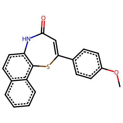 COc1ccc(C2=CC(=O)Nc3ccc4ccccc4c3S2)cc1